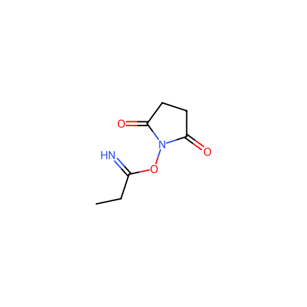 CCC(=N)ON1C(=O)CCC1=O